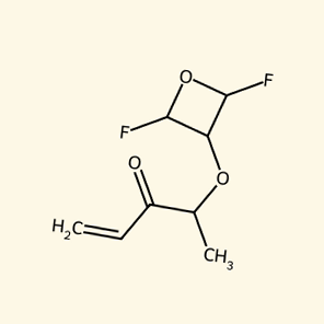 C=CC(=O)C(C)OC1C(F)OC1F